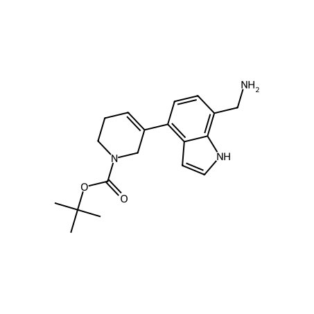 CC(C)(C)OC(=O)N1CCC=C(c2ccc(CN)c3[nH]ccc23)C1